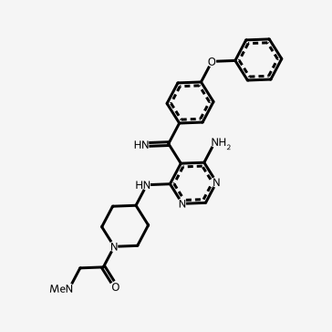 CNCC(=O)N1CCC(Nc2ncnc(N)c2C(=N)c2ccc(Oc3ccccc3)cc2)CC1